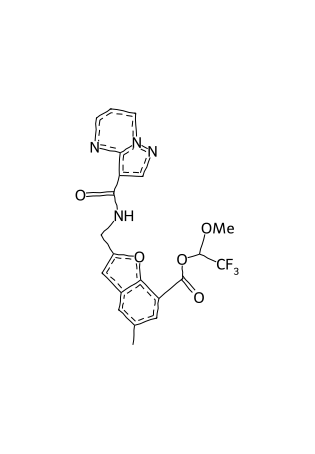 COC(OC(=O)c1cc(C)cc2cc(CNC(=O)c3cnn4cccnc34)oc12)C(F)(F)F